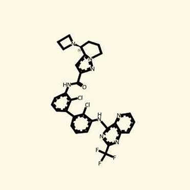 O=C(Nc1cccc(-c2cccc(Nc3nc(C(F)(F)F)nc4cccnc34)c2Cl)c1Cl)c1cc2n(n1)CCC[C@@H]2N1CCC1